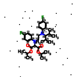 CC(C)OC(=O)C(C(=O)OC(C)C)N(CCN(c1ccc(F)cc1)C(C(C)C)C(C)C)c1ccc(F)cc1